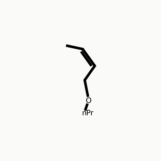 C/C=C\COCCC